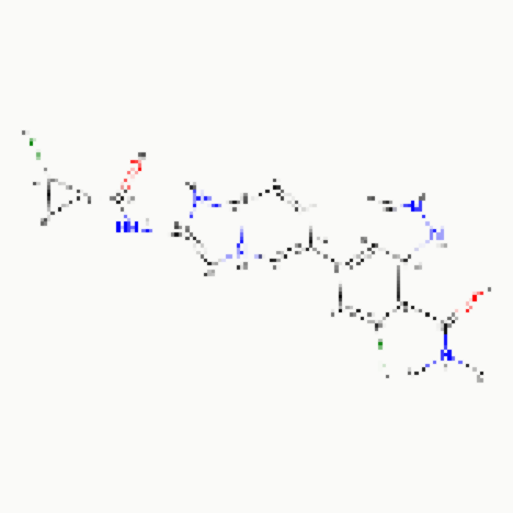 CN(C)C(=O)c1c(F)cc(-c2ccc3nc(NC(=O)[C@@H]4C[C@@H]4F)cn3c2)c2cn[nH]c12